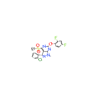 CCS(=O)(=O)c1nc(Oc2ccc(F)cc2F)nc2c1c(-c1ccccc1Cl)nn2C